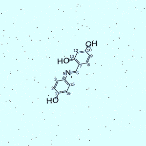 Oc1ccc(N=Cc2ccc(O)cc2O)cc1